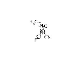 CC1CCN(C(=O)c2cc(-c3cccnc3)n(-c3ccc(F)cc3)n2)CC1